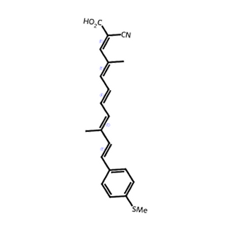 CSc1ccc(/C=C/C(C)=C/C=C/C=C(C)/C=C(\C#N)C(=O)O)cc1